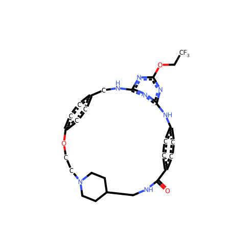 O=C1NCC2CCN(CCOc3ccc(cc3)CNc3nc(nc(OCC(F)(F)F)n3)Nc3ccc1cc3)CC2